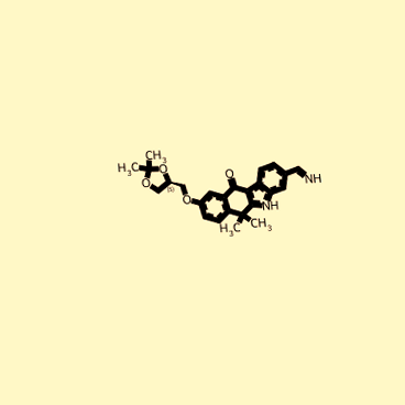 CC1(C)OC[C@H](COc2ccc3c(c2)C(=O)c2c([nH]c4cc(C=N)ccc24)C3(C)C)O1